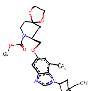 CC1(O)CC(n2cnc3cc(OC[C@@H]4CC5(CCN4C(=O)OC(C)(C)C)OCCO5)cc(C(F)(F)F)c32)C1